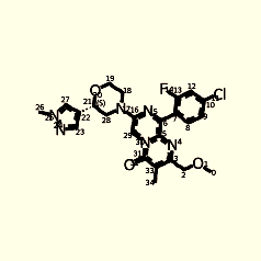 COCc1nc2c(-c3ccc(Cl)cc3F)nc(N3CCO[C@@H](c4cnn(C)c4)C3)cn2c(=O)c1C